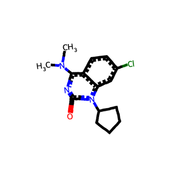 CN(C)c1nc(=O)n(C2CCCC2)c2cc(Cl)ccc12